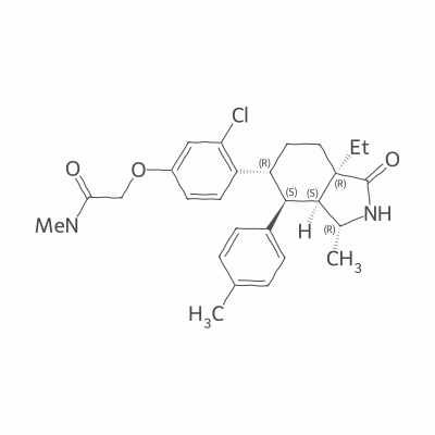 CC[C@@]12CC[C@@H](c3ccc(OCC(=O)NC)cc3Cl)[C@H](c3ccc(C)cc3)[C@@H]1[C@@H](C)NC2=O